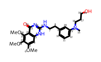 COc1cc2[nH]c(NCCc3cccc(N(C)CCCO)c3)nc(=O)c2c(OC)c1OC